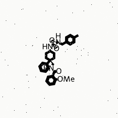 COc1ccccc1C(=O)NC[C@]1(c2ccccc2)CC[C@H](NS(=O)(=O)NCc2ccc(C)cc2)CC1